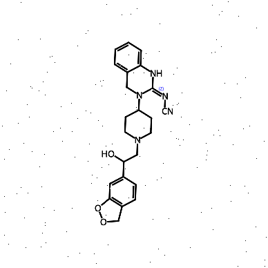 N#C/N=C1/Nc2ccccc2CN1C1CCN(CC(O)c2ccc3c(c2)OOC3)CC1